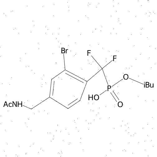 CCC(C)OP(=O)(O)C(F)(F)c1ccc(CNC(C)=O)cc1Br